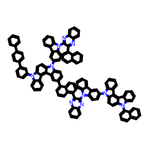 c1ccc(-c2ccc(-c3cccc(-n4c5ccccc5c5c6c7cc(-c8cccc9c(-c%10nc%11ccccc%11nc%10-n%10c%11ccccc%11c%11cc(-n%12c%13ccccc%13c%13c%14c%15ccccc%15n(-c%15cccc%16ccccc%15%16)c%14ccc%13%12)ccc%11%10)cccc89)ccc7n(-c7ccc8c(c7)c7ccccc7n8-c7nc8ccccc8nc7-c7cccc8ccccc78)c6ccc54)c3)cc2)cc1